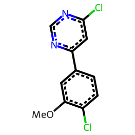 COc1cc(-c2cc(Cl)ncn2)ccc1Cl